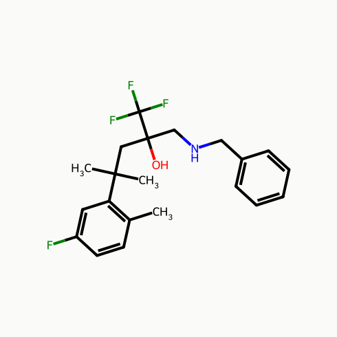 Cc1ccc(F)cc1C(C)(C)CC(O)(CNCc1ccccc1)C(F)(F)F